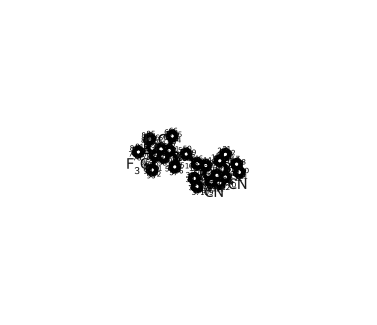 N#Cc1cc(B(c2cccc3ccccc23)c2cccc3ccccc23)c2ccc3c(B(c4cccc5ccccc45)c4cccc5cc(-c6cccc(B(c7ccccc7)c7cc(-c8ccccc8C(F)(F)F)c8ccc9c(B(c%10ccccc%10)c%10ccccc%10)cc(-c%10ccccc%10C(F)(F)F)c%10ccc7c8c9%10)c6)ccc45)cc(C#N)c4ccc1c2c43